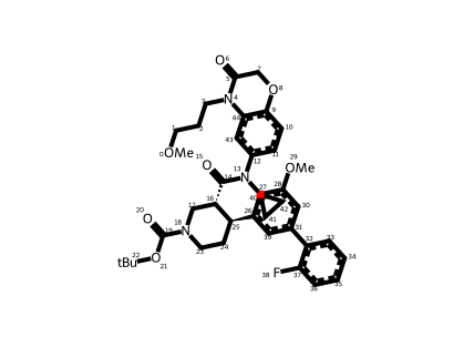 COCCCN1C(=O)COc2ccc(N(C(=O)[C@H]3CN(C(=O)OC(C)(C)C)CC[C@@H]3c3cc(OC)cc(-c4ccccc4F)c3)C3CC3)cc21